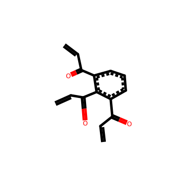 C=CC(=O)c1cccc(C(=O)C=C)c1C(=O)C=C